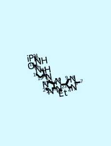 CCn1c(-c2cnc(C)nc2)nc2c(N[C@@H]3CCN(C(=O)NC(C)C)C3)ncnc21